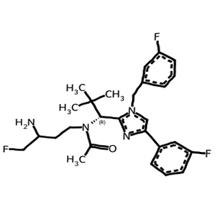 CC(=O)N(CCC(N)CF)[C@@H](c1nc(-c2cccc(F)c2)cn1Cc1cccc(F)c1)C(C)(C)C